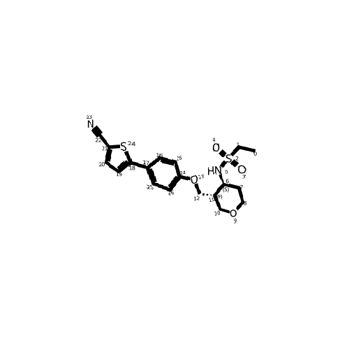 CCS(=O)(=O)N[C@H]1CCOC[C@@H]1COc1ccc(-c2ccc(C#N)s2)cc1